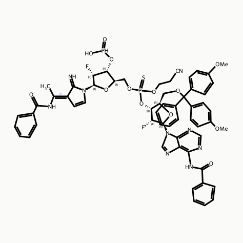 COc1ccc(C(OC[C@H]2O[C@@H](n3cnc4c(NC(=O)c5ccccc5)ncnc43)[C@H](F)[C@@H]2OP(=S)(OCCC#N)OC[C@H]2O[C@@H](N3C=C/C(=C(/C)NC(=O)c4ccccc4)C3=N)[C@H](F)[C@@H]2O[PH](=O)O)(c2ccccc2)c2ccc(OC)cc2)cc1